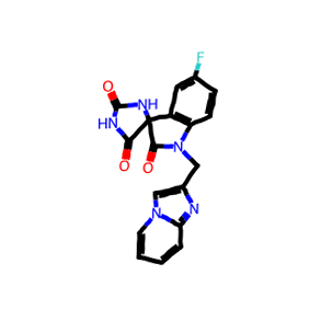 O=C1NC(=O)C2(N1)C(=O)N(Cc1cn3ccccc3n1)c1ccc(F)cc12